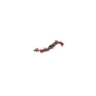 C=CC(=O)OCCCCOC(=O)C1CCC(C(=O)OC2CCC(C3CCC(OC(=O)C4CCC(C(=O)OCCCCOC(=O)C=C)CC4)CC3)CC2)CC1